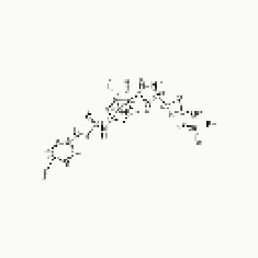 C[C@@H]1[C@H]2CC1(NC(=O)COc1ccc(F)cc1)CO[C@H]2c1nnc(C2CC(OC(F)(F)F)C2)o1